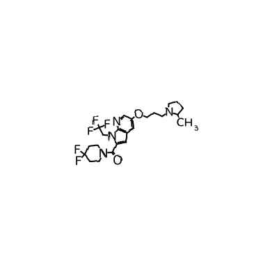 CC1CCCN1CCCOc1cnc2c(c1)cc(C(=O)N1CCC(F)(F)CC1)n2CC(F)(F)F